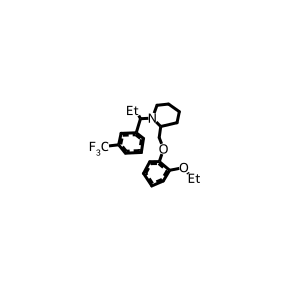 CCOc1ccccc1OCC1CCCCN1C(CC)c1cccc(C(F)(F)F)c1